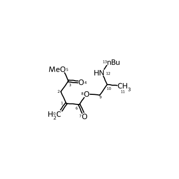 C=C(CC(=O)OC)C(=O)OCC(C)NCCCC